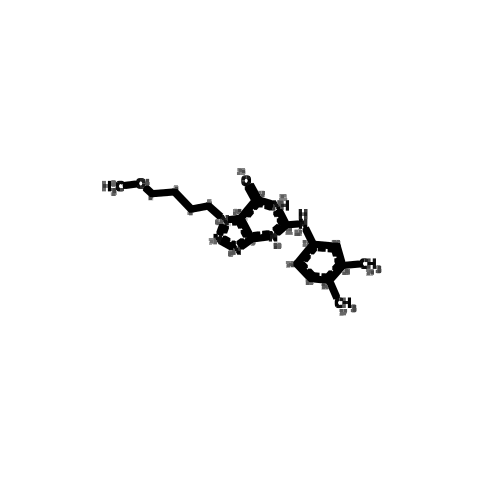 COCCCCn1nnc2nc(Nc3ccc(C)c(C)c3)[nH]c(=O)c21